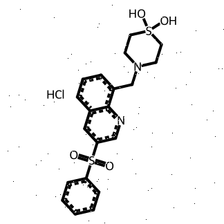 Cl.O=S(=O)(c1ccccc1)c1cnc2c(CN3CCS(O)(O)CC3)cccc2c1